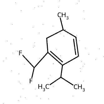 C[C]1C=CC(C(C)C)=C(C(F)F)C1